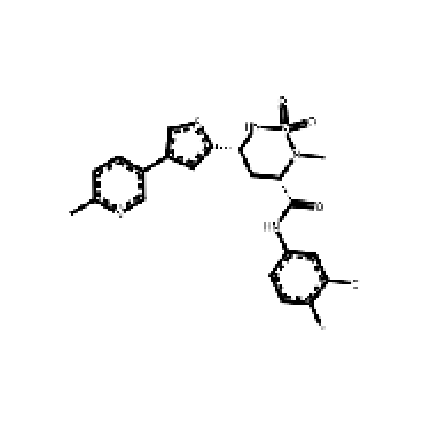 Cc1ccc(-c2csc([C@H]3C[C@@H](C(=O)Nc4ccc(F)c(Cl)c4)N(C)S(=O)(=O)N3)c2)cn1